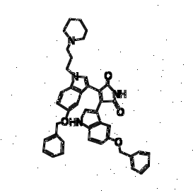 O=C1NC(=O)C(c2cn(CCCN3CCCCC3)c3ccc(OCc4ccccc4)cc23)=C1c1c[nH]c2ccc(OCc3ccccc3)cc12